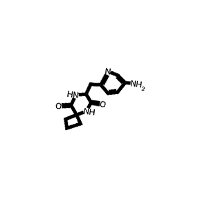 Nc1ccc(CC2NC(=O)C3(CCC3)NC2=O)nc1